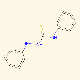 S=C(NNc1ccccc1)Nc1ccccc1